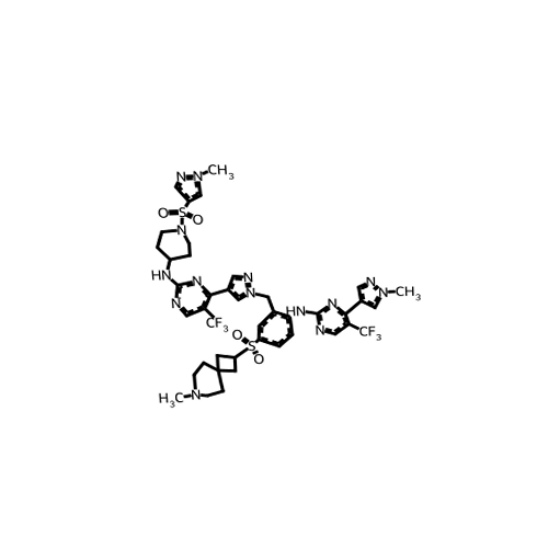 CN1CCC2(CC1)CC(S(=O)(=O)c1ccc(Nc3ncc(C(F)(F)F)c(-c4cnn(C)c4)n3)c(Cn3cc(-c4nc(NC5CCN(S(=O)(=O)c6cnn(C)c6)CC5)ncc4C(F)(F)F)cn3)c1)C2